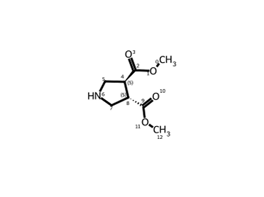 COC(=O)[C@@H]1CNC[C@H]1C(=O)OC